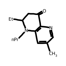 CCCN1c2cc(C)cnc2C(=O)CC1CC